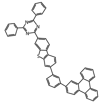 c1ccc(-c2nc(-c3ccccc3)nc(-c3ccc4c(c3)sc3cc(-c5cccc(-c6ccc7c8ccccc8c8ccccc8c7c6)c5)ccc34)n2)cc1